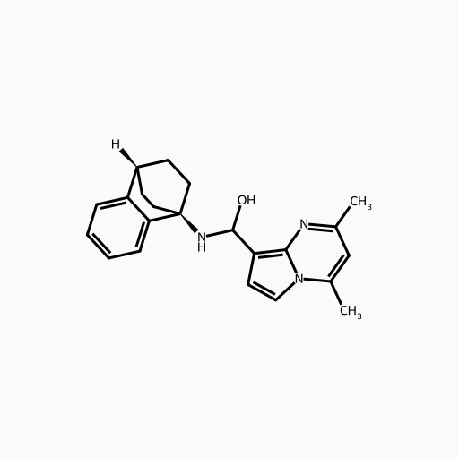 Cc1cc(C)n2ccc(C(O)N[C@]34CC[C@H](CC3)c3ccccc34)c2n1